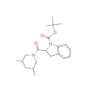 CC1CC(C)CN(C(=O)C2Cc3ccccc3N2C(=O)OC(C)(C)C)C1